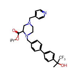 CC(C)OC(=O)C1CN(Cc2ccncc2)CCN1Cc1ccc(-c2ccc(C(C)(O)C(F)(F)F)cc2)cc1